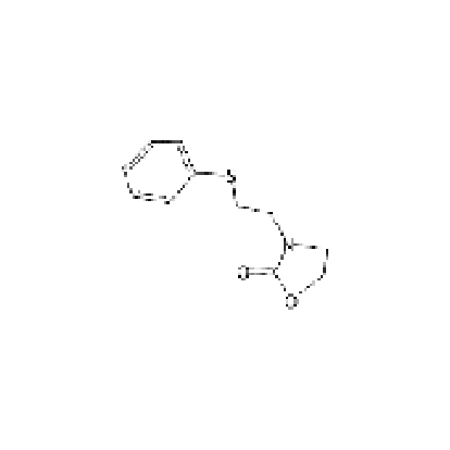 O=C1OCCN1CCSc1ccccc1